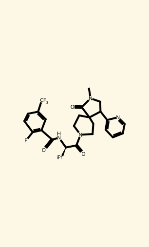 CC(C)[C@@H](NC(=O)c1cc(C(F)(F)F)ccc1F)C(=O)N1CCC2(CC1)C(=O)N(C)CC2c1ccccn1